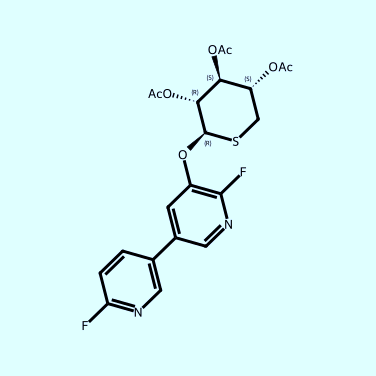 CC(=O)O[C@@H]1[C@@H](OC(C)=O)[C@H](OC(C)=O)CS[C@H]1Oc1cc(-c2ccc(F)nc2)cnc1F